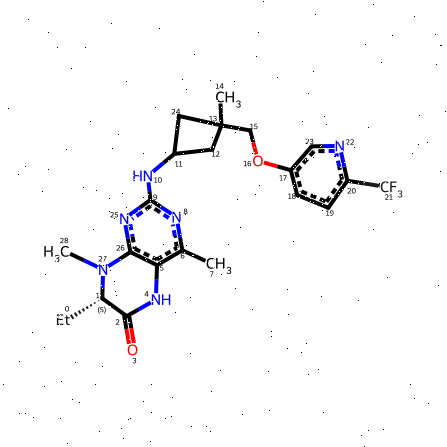 CC[C@H]1C(=O)Nc2c(C)nc(NC3CC(C)(COc4ccc(C(F)(F)F)nc4)C3)nc2N1C